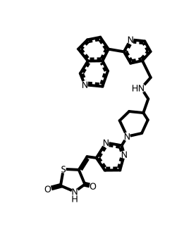 O=C1NC(=O)/C(=C\c2ccnc(N3CCC(CNCc4ccnc(-c5cccc6cnccc56)c4)CC3)n2)S1